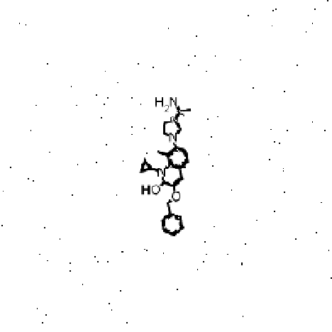 Cc1c(N2CC[C@@H]([C@H](C)N)C2)ccc2c1N(C1CC1)C(O)C(OCc1ccccc1)=C2